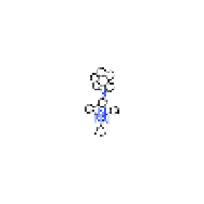 c1ccc(-c2nc(-c3ccccc3)nc(-c3ccccc3-c3cccc(-n4c5cccc6c5c5c7c(ccc8ccc9cccc-6c9c87)ccc54)c3)n2)cc1